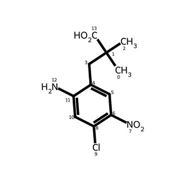 CC(C)(Cc1cc([N+](=O)[O-])c(Cl)cc1N)C(=O)O